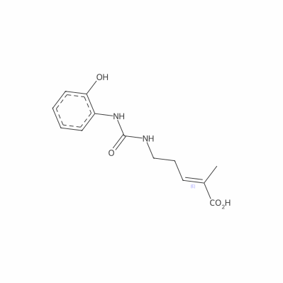 C/C(=C\CCNC(=O)Nc1ccccc1O)C(=O)O